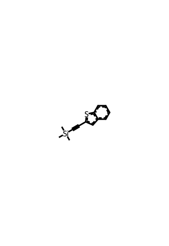 C[Si](C)(C)C#Cc1cc2ccccc2s1